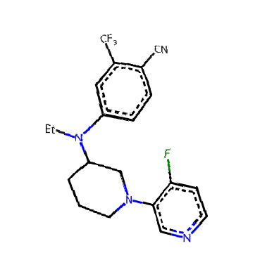 CCN(c1ccc(C#N)c(C(F)(F)F)c1)C1CCCN(c2cnccc2F)C1